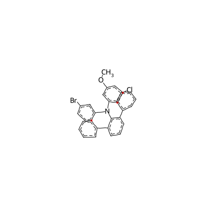 COc1cc(Cl)cc(N(c2cccc(Br)c2)c2c(-c3ccccc3)cccc2-c2ccccc2)c1